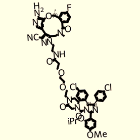 COc1ccc(C2=N[C@H](c3ccc(Cl)cc3)[C@H](c3ccc(Cl)cc3)N2C(=O)N2CCN(CCOCCOCCC(=O)NCCn3nc(C#N)c4c3CN(C)C(=O)c3ccc(F)cc3[C@@H](C)Oc3cc-4cnc3N)C(=O)C2)c(OC(C)C)c1